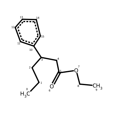 CCCC(CC(=O)OCC)c1ccccc1